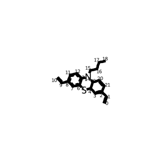 C=CC1=CC2Sc3cc(C=C)ccc3N(CCCC)C2C=C1